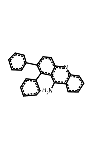 Nc1c2ccccc2nc2ccc(-c3ccccc3)c(-c3ccccc3)c12